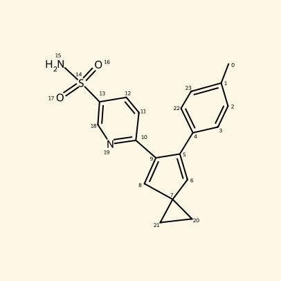 Cc1ccc(C2=CC3(C=C2c2ccc(S(N)(=O)=O)cn2)CC3)cc1